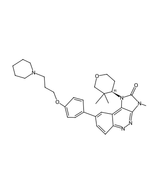 Cn1c(=O)n([C@@H]2CCOCC2(C)C)c2c3cc(-c4ccc(OCCCN5CCCCC5)cc4)ccc3nnc21